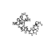 CN1CCC2(CCc3ccc(-c4cc5sc(C[C@H](C#N)NC(=O)[C@@H]6CNCCCCO6)cc5s4)cc32)CC1